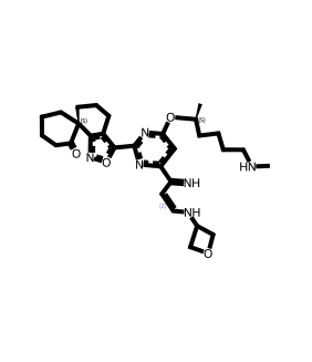 CNCCCC[C@H](C)Oc1cc(C(=N)/C=C\NC2COC2)nc(-c2onc3c2CCC[C@@]32CCCCC2=O)n1